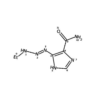 CCN/N=N/c1[nH]cnc1C(N)=O